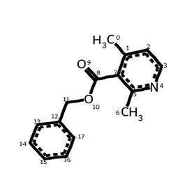 Cc1ccnc(C)c1C(=O)OCc1ccccc1